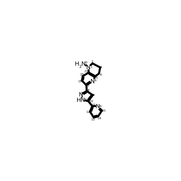 NN1CCCc2nc(-c3cc(-c4ccccn4)[nH]n3)ccc21